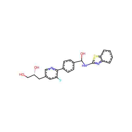 OC[C@H](O)Cc1cnc(-c2ccc(C(O)Nc3nc4ccccc4s3)cc2)c(F)c1